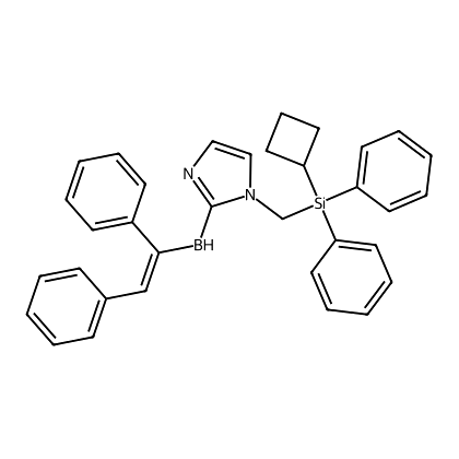 B(C(=Cc1ccccc1)c1ccccc1)c1nccn1C[Si](c1ccccc1)(c1ccccc1)C1CCC1